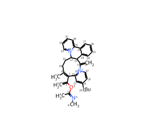 C=C(O/C(C)=N/C)/C1=C(\C)CCC2C(C(=C)[n+]3ccc(C(C)(C)C)cc31)c1ccccc1-c1cccc[n+]12